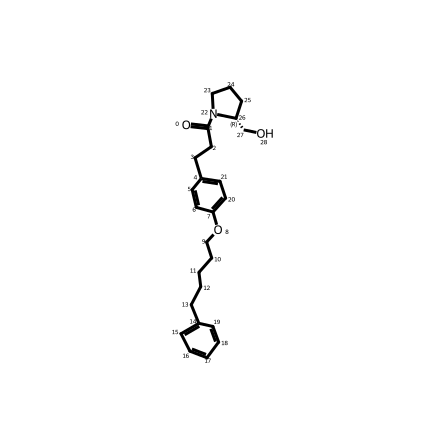 O=C(CCc1ccc(OCCCCCc2ccccc2)cc1)N1CCC[C@@H]1CO